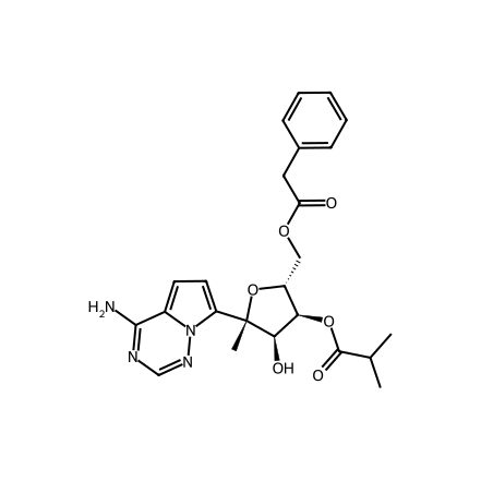 CC(C)C(=O)O[C@H]1[C@@H](O)[C@](C)(c2ccc3c(N)ncnn23)O[C@@H]1COC(=O)Cc1ccccc1